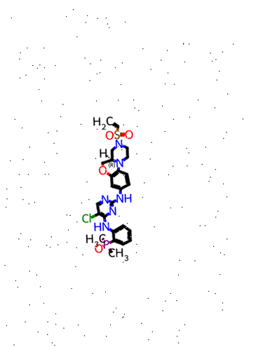 C=CS(=O)(=O)N1CCN2c3ccc(Nc4ncc(Cl)c(Nc5ccccc5P(C)(C)=O)n4)cc3OC[C@H]2C1